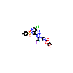 Cc1ccc(S(=O)(=O)n2cc(/C(N)=N/C(NC3CN(C(=O)OC4CCOC4)C3)=C(/F)CI)c3cc(Cl)cnc32)cc1